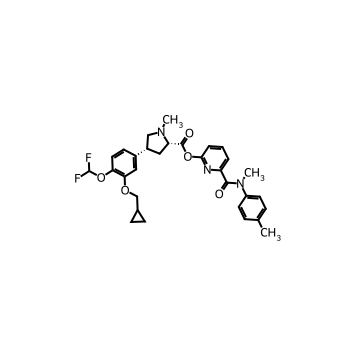 Cc1ccc(N(C)C(=O)c2cccc(OC(=O)[C@@H]3C[C@H](c4ccc(OC(F)F)c(OCC5CC5)c4)CN3C)n2)cc1